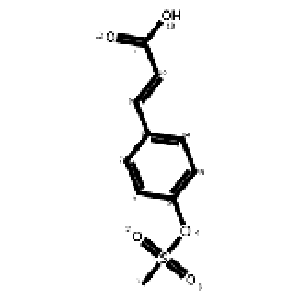 CS(=O)(=O)Oc1ccc(/C=C/C(=O)O)cc1